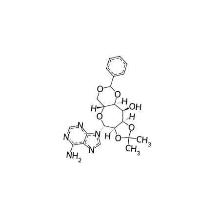 CC1(C)O[C@@H]2[C@H](O)[C@@H]3OC(c4ccccc4)OC[C@H]3O[C@@H](n3cnc4c(N)ncnc43)[C@@H]2O1